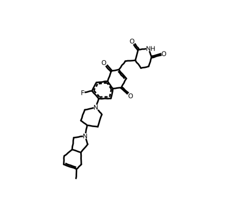 CC1=CCC2CN(C3CCN(c4cc5c(cc4F)C(=O)C(CC4CCC(=O)NC4=O)=CC5=O)CC3)CC2C1